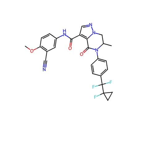 COc1ccc(NC(=O)c2cnn3c2C(=O)N(c2ccc(C(F)(F)C4(F)CC4)cc2)C(C)C3)cc1C#N